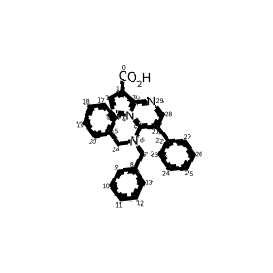 O=C(O)c1cnn2c(N(Cc3ccccc3)Cc3ccccc3)c(-c3ccccc3)cnc12